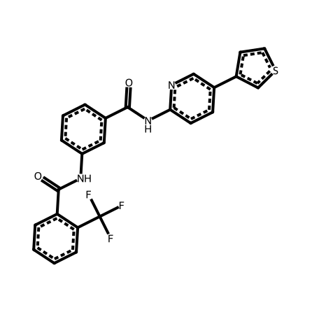 O=C(Nc1ccc(-c2ccsc2)cn1)c1cccc(NC(=O)c2ccccc2C(F)(F)F)c1